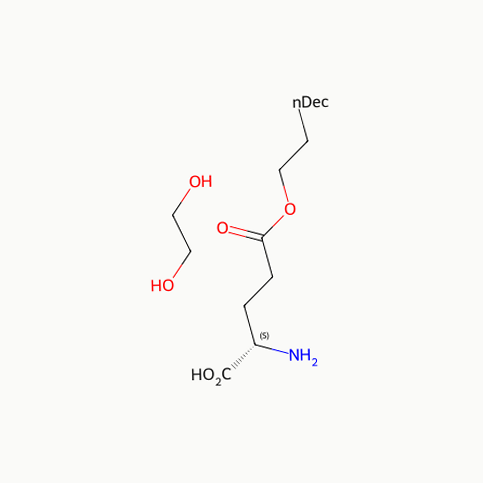 CCCCCCCCCCCCOC(=O)CC[C@H](N)C(=O)O.OCCO